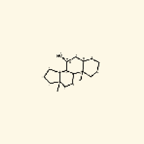 CC12CCCC1C1C(CC2)C2(C)CCCCC2C[C@@H]1O